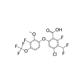 COc1c(Oc2cc(Cl)c(C(F)F)c(F)c2C(=O)O)ccc(OC(F)(F)F)c1F